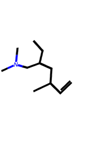 C=CC(C)CC(CC)CN(C)C